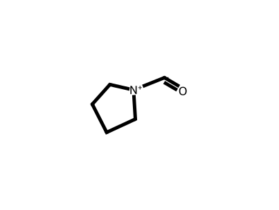 O=[C][N+]1CCCC1